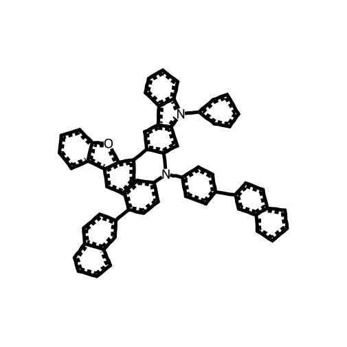 c1ccc(-n2c3ccccc3c3cc(-c4cccc5c4oc4ccccc45)c(N(c4ccc(-c5ccc6ccccc6c5)cc4)c4ccc(-c5ccc6ccccc6c5)cc4)cc32)cc1